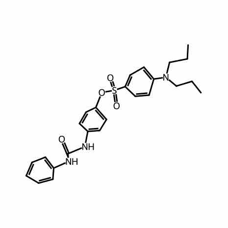 CCCN(CCC)c1ccc(S(=O)(=O)Oc2ccc(NC(=O)Nc3ccccc3)cc2)cc1